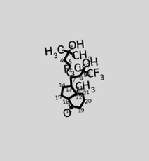 CC(C)(O)CCCC(CC(O)(C(F)(F)F)C(F)(F)F)C1CCC2C(=O)CCC[C@@]21C